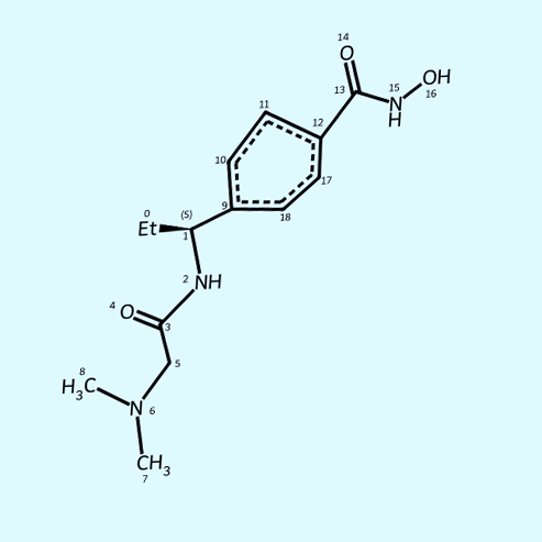 CC[C@H](NC(=O)CN(C)C)c1ccc(C(=O)NO)cc1